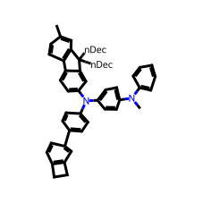 CCCCCCCCCCC1(CCCCCCCCCC)c2cc(C)ccc2-c2ccc(N(c3ccc(-c4ccc5c(c4)CC5)cc3)c3ccc(N(C)c4ccccc4)cc3)cc21